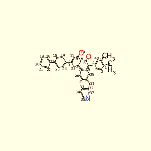 Cc1ccc(CC(=O)[C@H]2C(=O)C=C(c3ccc(-c4ccccc4)cc3)C[C@@H]2c2ccc(Cc3cccnc3)cc2)cc1C